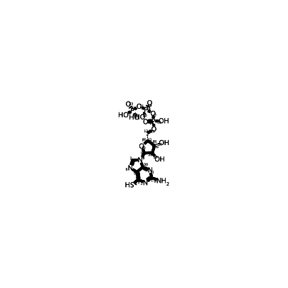 Nc1nc(S)c2ncn(C3O[C@H](COP(=O)(O)OP(=O)(O)OP(=O)(O)O)[C@H](O)C3O)c2n1